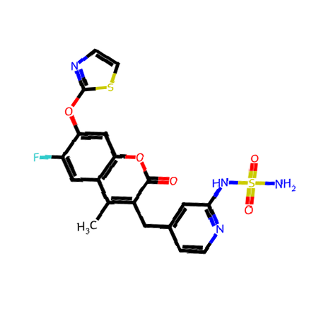 Cc1c(Cc2ccnc(NS(N)(=O)=O)c2)c(=O)oc2cc(Oc3nccs3)c(F)cc12